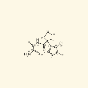 Cc1csc(C2(C(=O)NN(C)C(N)=S)CCCC2)c1Cl